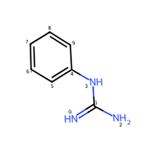 N=C(N)Nc1c[c]ccc1